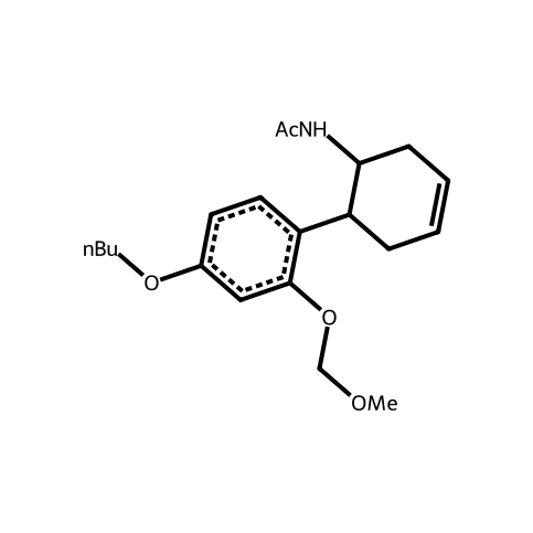 CCCCOc1ccc(C2CC=CCC2NC(C)=O)c(OCOC)c1